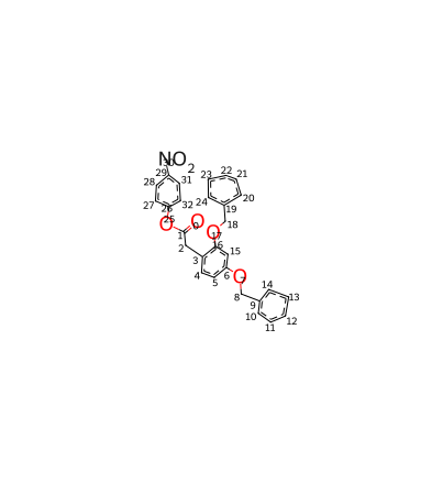 O=C(Cc1ccc(OCc2ccccc2)cc1OCc1ccccc1)Oc1ccc([N+](=O)[O-])cc1